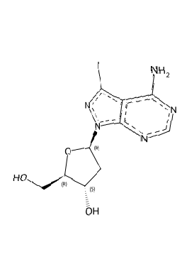 Nc1ncnc2c1c(I)nn2[C@H]1C[C@H](O)[C@@H](CO)O1